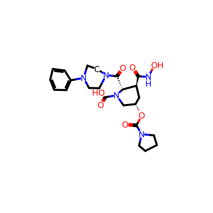 O=C(NO)[C@H]1C[C@H](OC(=O)N2CCCC2)CN(C(=O)O)[C@@H]1C(=O)N1CCN(c2ccccc2)CC1